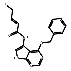 O=C(C=CCF)Nc1c[nH]c2ncnc(OCc3ccccc3)c12